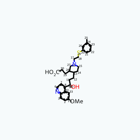 COc1ccc2nccc([C@@H](O)CCC3CCN(CCSc4cccc(C)c4)CC3CCC(=O)O)c2c1